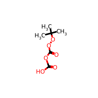 CC(C)(C)OOC(=O)OC(=O)O